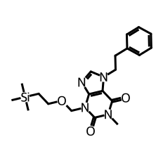 Cn1c(=O)c2c(ncn2CCc2ccccc2)n(COCC[Si](C)(C)C)c1=O